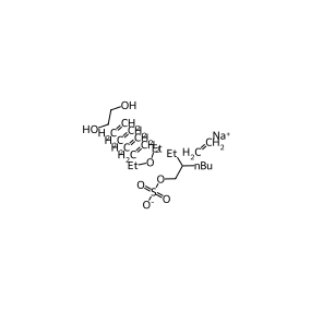 C=C.C=C.C=C.C=C.C=C.CCCCC(CC)COS(=O)(=O)[O-].CCOCC.OCCO.[Na+]